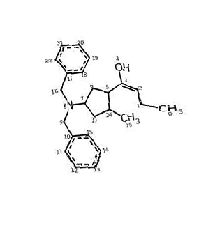 CC/C=C(/O)C1CC(N(Cc2ccccc2)Cc2ccccc2)CC1C